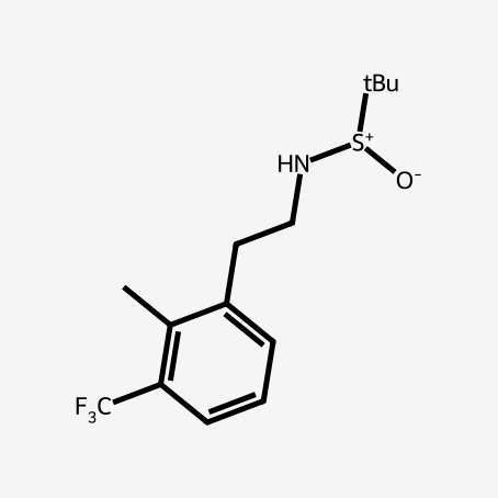 Cc1c(CCN[S+]([O-])C(C)(C)C)cccc1C(F)(F)F